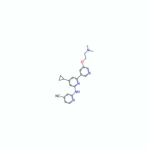 CN(C)CCOc1cncc(-c2cc(C3CC3)cc(Nc3cc(C#N)ccn3)n2)c1